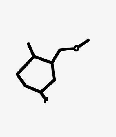 COCC1CC(F)CCC1C